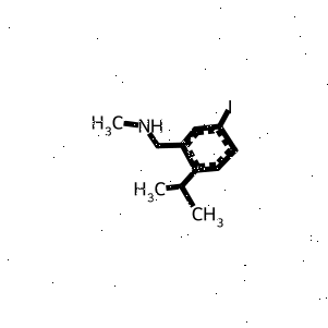 CNCc1cc(I)ccc1C(C)C